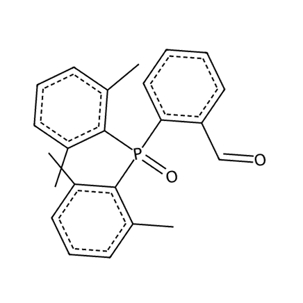 Cc1cccc(C)c1P(=O)(c1ccccc1C=O)c1c(C)cccc1C